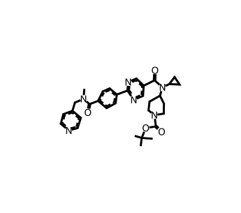 CN(Cc1ccncc1)C(=O)c1ccc(-c2ncc(C(=O)N(C3CC3)C3CCN(C(=O)OC(C)(C)C)CC3)cn2)cc1